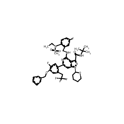 CCN(c1ccc(F)cc1CNc1nc(-c2cc(F)c(OCc3ccccc3)cc2CC(F)(F)F)cc2c1c(C(=O)NC(C)(C)C)nn2C1CCCCO1)S(C)(=O)=O